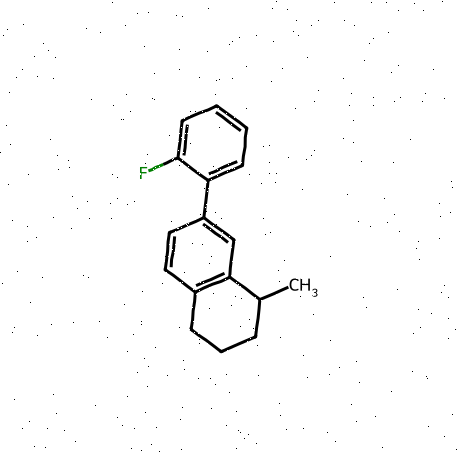 CC1CCCc2ccc(-c3ccccc3F)cc21